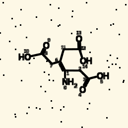 NC(CC(=O)O)=C(CC(=O)O)CC(=O)O